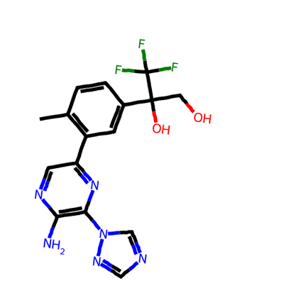 Cc1ccc(C(O)(CO)C(F)(F)F)cc1-c1cnc(N)c(-n2cncn2)n1